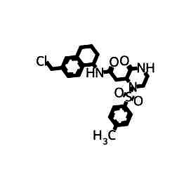 Cc1ccc(S(=O)(=O)N2CCNC(=O)C2CC(=O)NC2CCCc3cc(CCl)ccc32)cc1